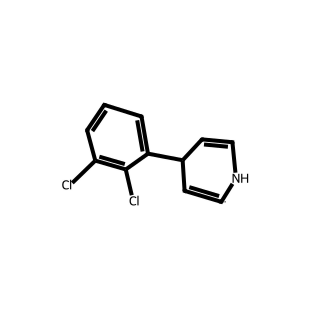 Clc1cccc(C2C=[C]NC=C2)c1Cl